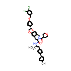 N#Cc1ccc(-c2ccc(C[C@H](NC(=O)C3Cc4cc5c(cc4CN3C(=O)C3CCOCC3)O[C@@H](c3ccc(OCc4ccc(Cl)c(Cl)c4)cc3)CO5)C(=O)O)cc2)cc1